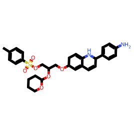 Cc1ccc(S(=O)(=O)OCC(COC2C=C3C=CC(c4ccc(N)cc4)NC3=CC2)OC2CCCCO2)cc1